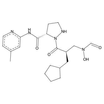 Cc1ccnc(NC(=O)[C@@H]2CCNN2C(=O)[C@H](CC2CCCC2)CN(O)C=O)c1